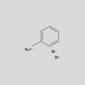 Cc1ccccc1.[Br-].[Br-].[Ru+2]